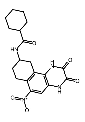 O=C(NC1CCc2c([N+](=O)[O-])cc3[nH]c(=O)c(=O)[nH]c3c2C1)C1CCCCC1